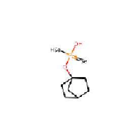 OP(=[Se])([SeH])OC12CCC(CC1)C2